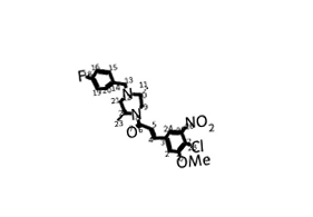 COc1cc(C=CC(=O)N2C[C@@H](C)N(Cc3ccc(F)cc3)C[C@@H]2C)cc([N+](=O)[O-])c1Cl